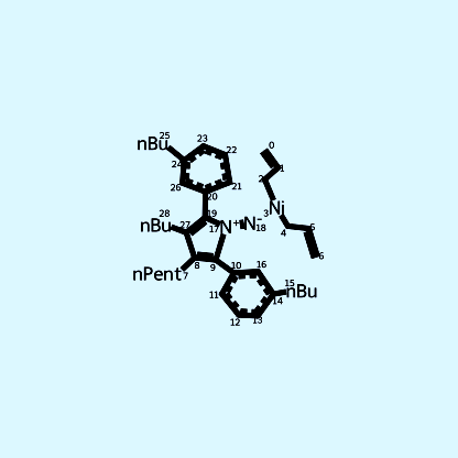 C=C[CH2][Ni][CH2]C=C.CCCCCC1=C(c2cccc(CCCC)c2)[N+](=[N-])C(c2cccc(CCCC)c2)=C1CCCC